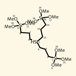 CO[Si](CCC[SiH](CCC[Si](OC)(OC)OC)CCC[Si](OC)(OC)OC)(OC)OC